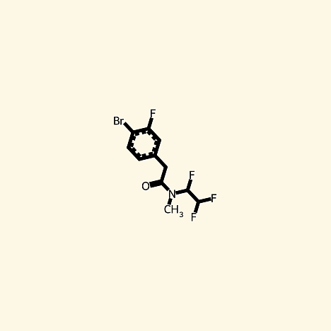 CN(C(=O)Cc1ccc(Br)c(F)c1)C(F)C(F)F